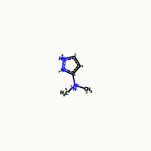 [CH2-][NH+](C)c1cc[nH]n1